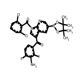 CC1(C)OB(c2cnc3c(c2)c(C(=O)c2ccc(F)c(N)c2F)cn3C(=O)c2c(Cl)cccc2Cl)OC1(C)C